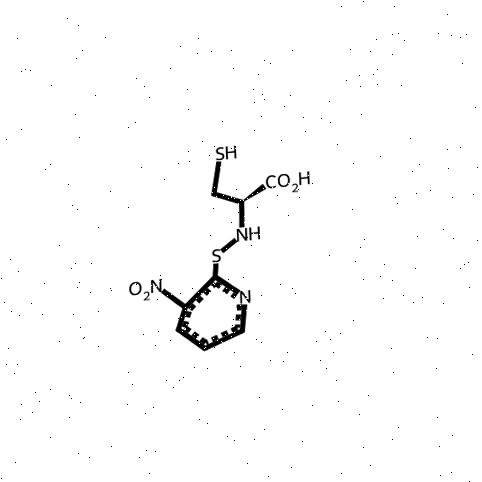 O=C(O)[C@H](CS)NSc1ncccc1[N+](=O)[O-]